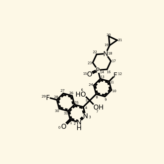 O=c1[nH]nc(C(O)(O)c2ccc(F)c(P3(=O)CCN(C4CC4)CC3)c2)c2ccc(F)cc12